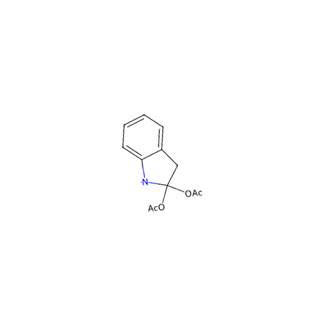 CC(=O)OC1(OC(C)=O)Cc2ccccc2[N]1